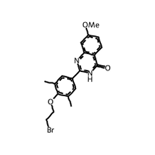 COc1ccc2c(=O)[nH]c(-c3cc(C)c(OCCBr)c(C)c3)nc2c1